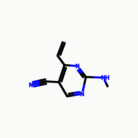 C=Cc1nc(NC)ncc1C#N